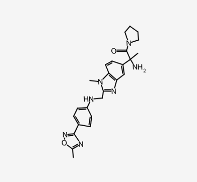 Cc1nc(-c2ccc(NCc3nc4cc(C(C)(N)C(=O)N5CCCC5)ccc4n3C)cc2)no1